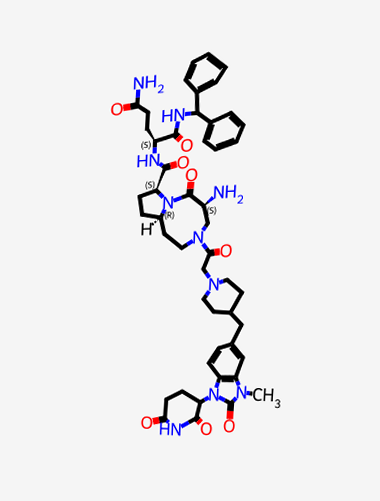 Cn1c(=O)n(C2CCC(=O)NC2=O)c2ccc(CC3CCN(CC(=O)N4CC[C@H]5CC[C@@H](C(=O)N[C@@H](CCC(N)=O)C(=O)NC(c6ccccc6)c6ccccc6)N5C(=O)[C@@H](N)C4)CC3)cc21